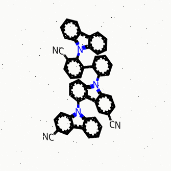 N#Cc1ccc2c(c1)c1ccccc1n2-c1cccc2c1c1cc(C#N)ccc1n2-c1ccccc1-c1cccc(C#N)c1-n1c2ccccc2c2ccccc21